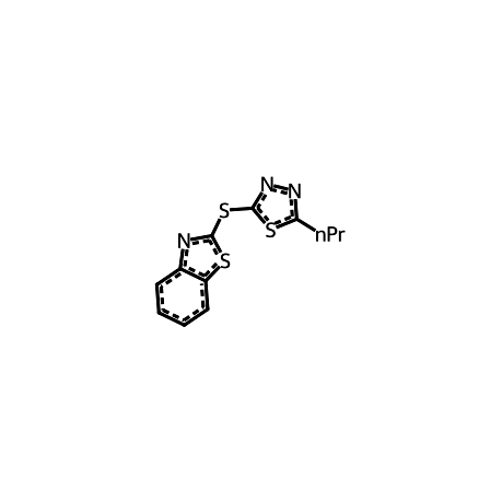 CCCc1nnc(Sc2nc3ccccc3s2)s1